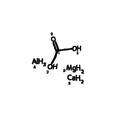 O=C(O)O.[AlH3].[CaH2].[MgH2]